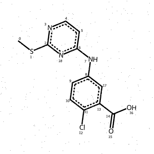 CSc1nccc(Nc2ccc(Cl)c(C(=O)O)c2)n1